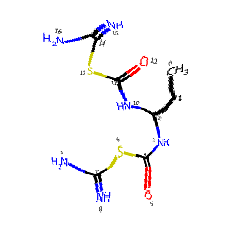 CCC(NC(=O)SC(=N)N)NC(=O)SC(=N)N